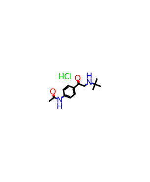 CC(=O)Nc1ccc(C(=O)CNC(C)(C)C)cc1.Cl